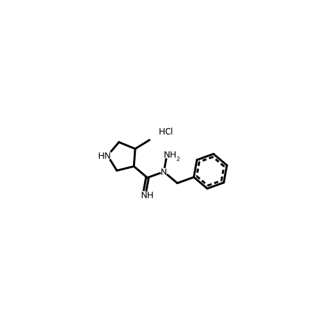 CC1CNCC1C(=N)N(N)Cc1ccccc1.Cl